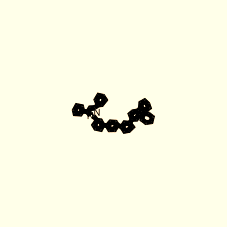 c1ccc(-c2cc(-c3ccccc3)nc(-c3cccc(-c4ccc(-c5cccc(-c6ccc7c(c6)C6(CCCCC6)c6ccccc6-7)c5)cc4)c3)n2)cc1